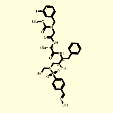 CC(C)CN(C[C@H](O)[C@H](Cc1ccccc1)NC(=O)[C@@H](NC(=O)CN(Cc1cccc(F)c1)C(=O)OC(C)(C)C)C(C)(C)C)S(=O)(=O)c1ccc(C=NO)cc1